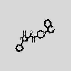 O=C(NC1CCN(c2ccnc3ccccc23)CC1)c1cc(-c2ccccc2)n[nH]1